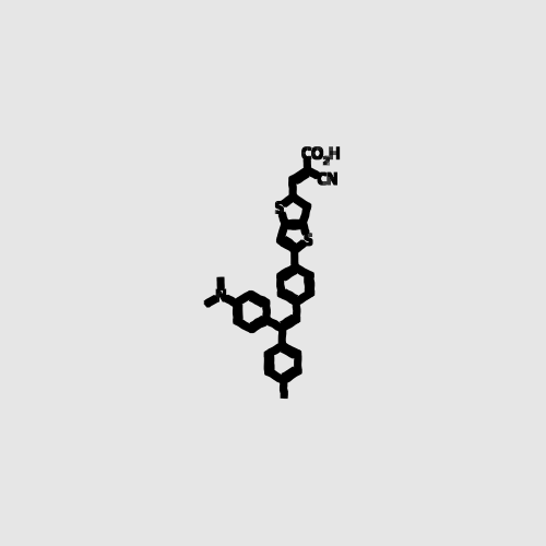 Cc1ccc(/C(=C/c2ccc(-c3cc4c(s3)CC(/C=C(\C#N)C(=O)O)S4)cc2)c2ccc(N(C)C)cc2)cc1